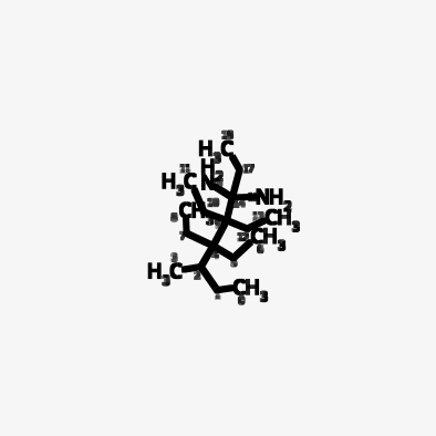 CCC(C)C(CC)(CC)C(CC)(CC)C(N)(N)CC